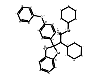 O=C(NC1CCCCC1)C(C1CCCCC1)C1(c2ccc(Oc3ccccc3)cc2)Nc2ccccc2N1